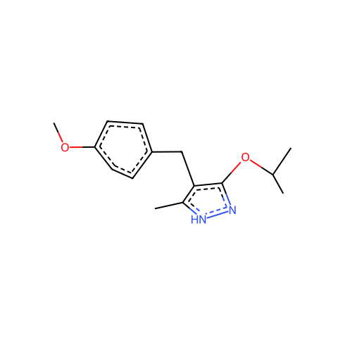 COc1ccc(Cc2c(OC(C)C)n[nH]c2C)cc1